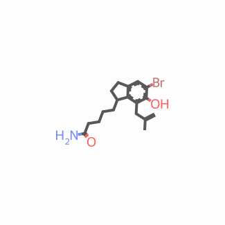 C=C(C)Cc1c(O)c(Br)cc2c1C(CCCCC(N)=O)CC2